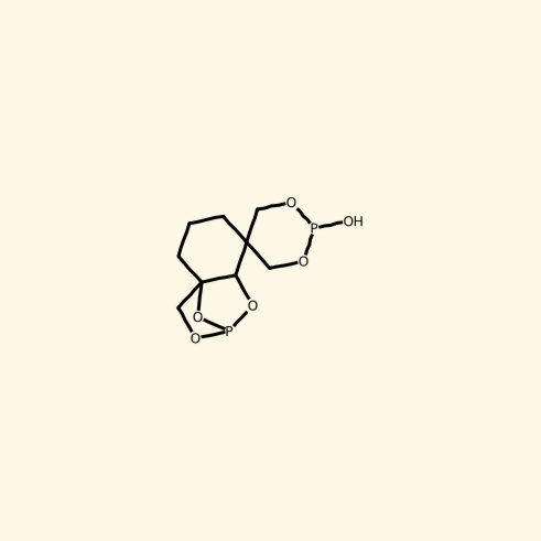 OP1OCC2(CCCC34COP(OC23)O4)CO1